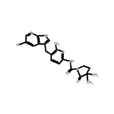 Cc1nc(NC(=O)N2CCC(C)(C)C2=O)ccc1Cc1c[nH]c2ncc(Cl)cc12